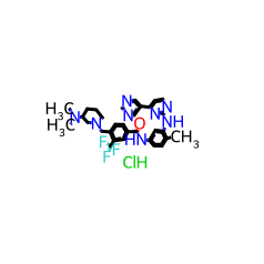 Cc1ccc(NC(=O)c2ccc(CN3CCCC(N(C)C)C3)c(C(F)(F)F)c2)cc1Nc1nccc(-c2cncnc2)n1.Cl